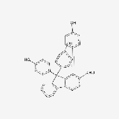 O=Cc1ccc2c(c1C#Cc1ccc(O)cc1)C(c1ccc(O)cc1)(c1ccc(O)cc1)c1ccccc1-2